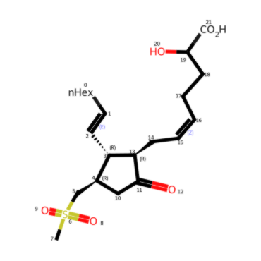 CCCCCC/C=C/[C@H]1[C@H](CS(C)(=O)=O)CC(=O)[C@@H]1C/C=C\CCC(O)C(=O)O